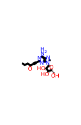 CCCC(=O)C#Cc1nc(N)c2ncn([C@@H]3O[C@H](CO)[C@@H](O)[C@H]3O)c2n1